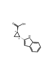 O=C(O)[C@@H]1C[C@H]1c1cc2ccccc2[nH]1